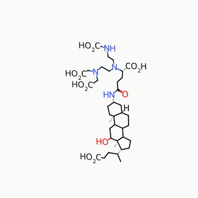 CC(CCC(=O)O)[C@H]1CCC2C3CC[C@@H]4C[C@@H](NC(=O)CC[C@@H](C(=O)O)N(CCNC(=O)O)CCN(CC(=O)O)CC(=O)O)CC[C@]4(C)C3C[C@H](O)[C@@]21C